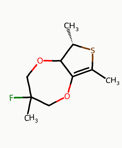 CC1=C2OCC(C)(F)COC2[C@H](C)S1